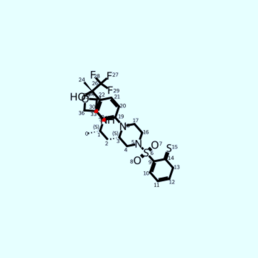 C[C@@H](C[C@H]1CN(S(=O)(=O)C2=CC=CCC2=S)CCN1c1ccc([C@](C)(O)C(F)(F)F)cc1)NC1COC1